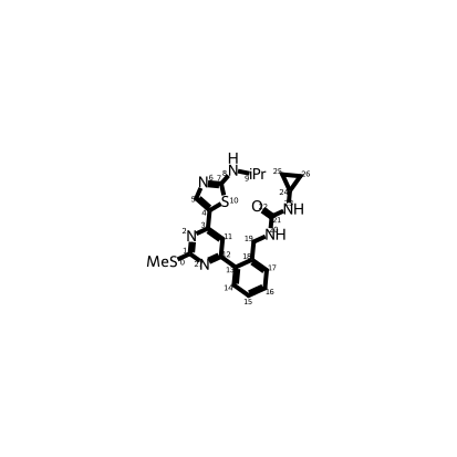 CSc1nc(-c2cnc(NC(C)C)s2)cc(-c2ccccc2CNC(=O)NC2CC2)n1